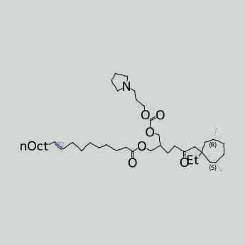 CCCCCCCC/C=C/CCCCCCCC(=O)OCC(CCC(=O)CC1(CC)C[C@H](C)CC[C@H](C)C1)COC(=O)OCCCN1CCCC1